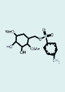 COC1CC(COS(=O)(=O)c2ccc(C)cc2)C(OC)C(O)C1O